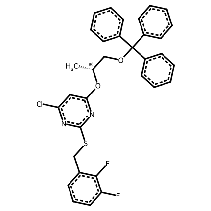 C[C@H](COC(c1ccccc1)(c1ccccc1)c1ccccc1)Oc1cc(Cl)nc(SCc2cccc(F)c2F)n1